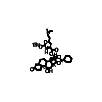 CN(C)CCCC[C@H](NC(=O)OC(C)(C)C)C(=O)OCC(=O)[C@@]12O[C@H](C3CCCCC3)O[C@@H]1CC1C3CCC4=CC(=O)C=C[C@]4(C)C3[C@@H](O)C[C@@]12C